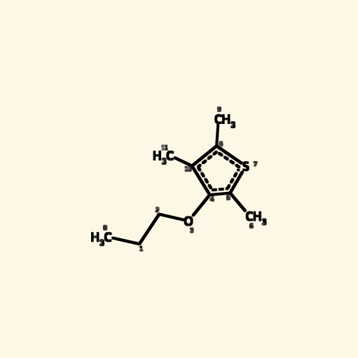 CCCOc1c(C)sc(C)c1C